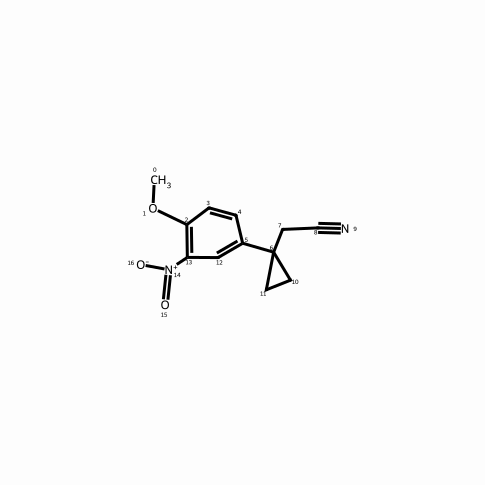 COc1ccc(C2(CC#N)CC2)cc1[N+](=O)[O-]